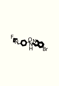 O=C(Nc1cc2cc(Br)ccc2cn1)[C@H]1CC[C@H](CN2CC(F)C2)CC1